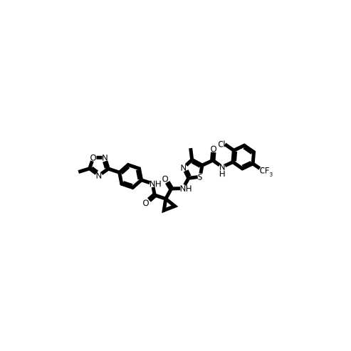 Cc1nc(-c2ccc(NC(=O)C3(C(=O)Nc4nc(C)c(C(=O)Nc5cc(C(F)(F)F)ccc5Cl)s4)CC3)cc2)no1